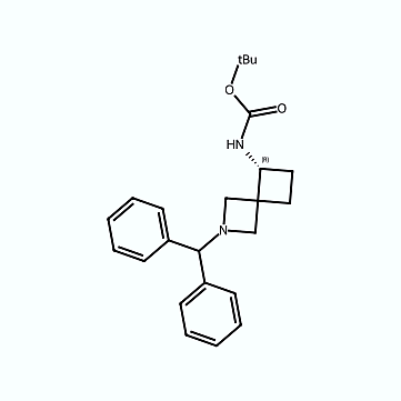 CC(C)(C)OC(=O)N[C@@H]1CCC12CN(C(c1ccccc1)c1ccccc1)C2